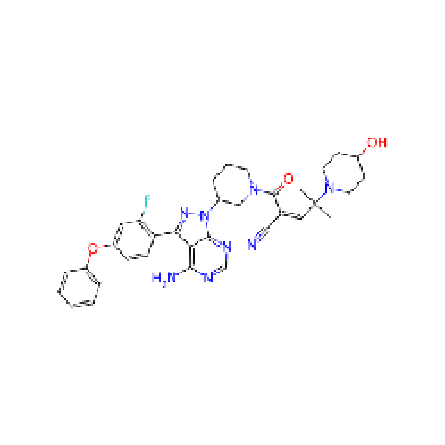 CC(C)(/C=C(/C#N)C(=O)N1CCCC(n2nc(-c3ccc(Oc4ccccc4)cc3F)c3c(N)ncnc32)C1)N1CCC(O)CC1